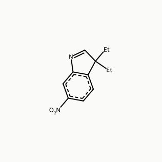 CCC1(CC)C=Nc2cc([N+](=O)[O-])ccc21